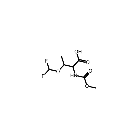 COC(=O)NC(C(=O)O)C(C)OC(F)F